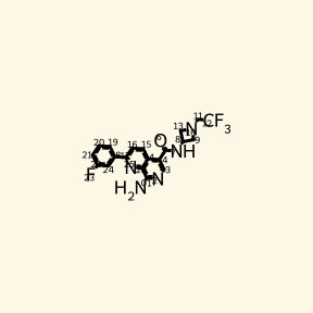 Nc1ncc(C(=O)NC2CN(CC(F)(F)F)C2)c2ccc(-c3cccc(F)c3)nc12